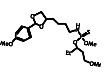 CCC(CCOC)OP(=S)(NCCCCC1COC(c2ccc(OC)cc2)O1)OC